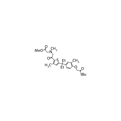 CCC(CC)(c1ccc(OCC(=O)C(C)(C)C)c(C)c1)c1cc(C)c(C(=O)CN(C)CC(=O)OC)s1